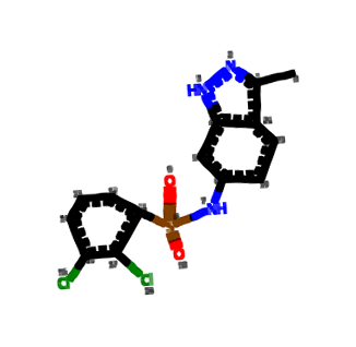 Cc1n[nH]c2cc(NS(=O)(=O)c3cccc(Cl)c3Cl)ccc12